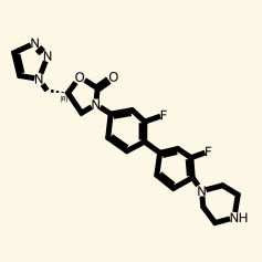 O=C1O[C@@H](Cn2ccnn2)CN1c1ccc(-c2ccc(N3CCNCC3)c(F)c2)c(F)c1